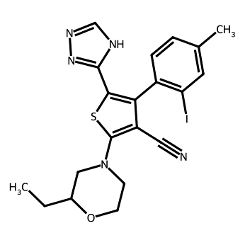 CCC1CN(c2sc(-c3nnc[nH]3)c(-c3ccc(C)cc3I)c2C#N)CCO1